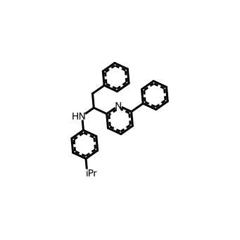 CC(C)c1ccc(NC(Cc2ccccc2)c2cccc(-c3ccccc3)n2)cc1